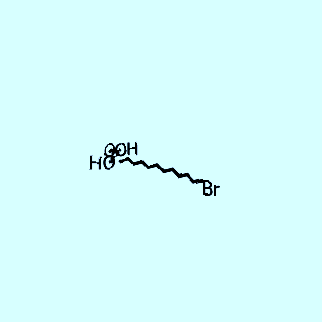 O=P(O)(O)CCCCCCCCCCCCBr